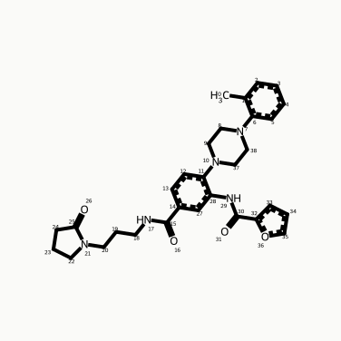 Cc1ccccc1N1CCN(c2ccc(C(=O)NCCCN3CCCC3=O)cc2NC(=O)c2ccco2)CC1